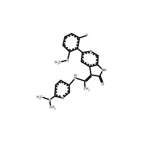 COc1cccc(F)c1-c1cc2c(cn1)NC(=O)C2=C(C)Nc1ccc(N(C)C)nc1